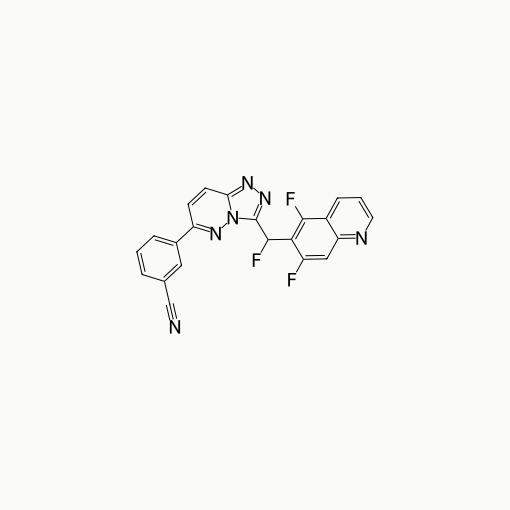 N#Cc1cccc(-c2ccc3nnc(C(F)c4c(F)cc5ncccc5c4F)n3n2)c1